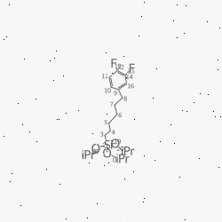 CC(C)O[Si](CCCCCCc1ccc(F)c(F)c1)(OC(C)C)OC(C)C